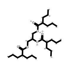 CCCC(CCC)C(=O)OCC(COC(=O)C(CCC)CCC)OC(=O)C(CCC)CCC